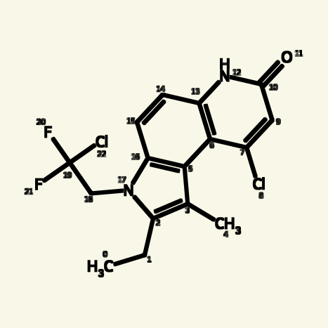 CCc1c(C)c2c3c(Cl)cc(=O)[nH]c3ccc2n1CC(F)(F)Cl